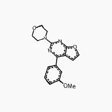 COc1cccc(-c2nc(N3CCOCC3)nc3occc23)c1